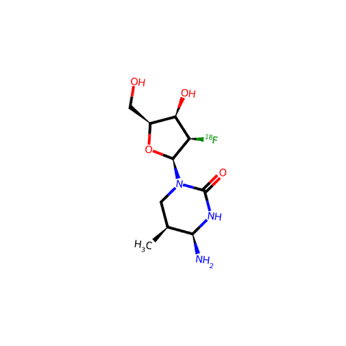 C[C@H]1CN([C@H]2O[C@@H](CO)[C@@H](O)[C@H]2[18F])C(=O)N[C@H]1N